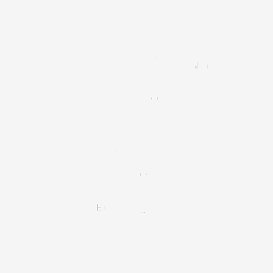 CCCCC(CC)COc1ccc(OCC(CC)CCCC)c(Oc2ccccc2)c1